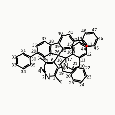 Cc1nnc(C)c2c1N1CCc3ccccc3C1(CCc1ccccc1)C21c2cc(-c3ccccc3)ccc2-c2ccc(-c3ccccc3)cc21